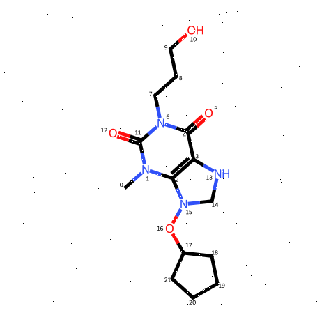 Cn1c2c(c(=O)n(CCCO)c1=O)NCN2OC1CCCC1